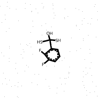 OC(S)(S)c1cccc(F)c1F